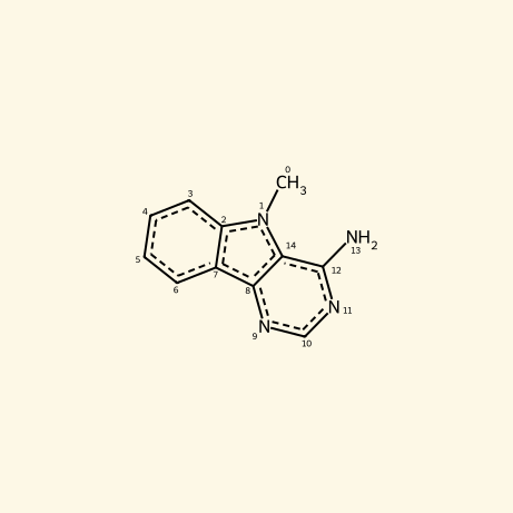 Cn1c2ccccc2c2ncnc(N)c21